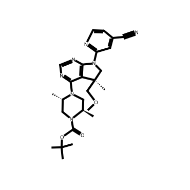 COC[C@]1(C)CN(c2cc(C#N)ccn2)c2ncnc(N3C[C@@H](C)N(C(=O)OC(C)(C)C)C[C@@H]3C)c21